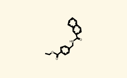 CCOC(=O)c1ccc(CNC(=O)c2ccc3ccccc3c2)cc1